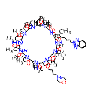 CC[C@@H]1NC(=O)[C@@H]2[C@@H]([C@H](C)CCCCCn3nc4ccccc4n3)ON2C(=O)[C@H](C(C)C)N(C)C(=O)[C@H](CC(C)C)N(C)C(=O)[C@H](CC(C)C)N(C)C(=O)[C@@H](C)NC(=O)[C@H](C)NC(=O)[C@H](CC(C)C)N(C)C(=O)[C@H](C(C)C)NC(=O)[C@H]([C@@H](C)OCCCCN2CCOCC2)N(C)C(=O)[C@@H](C)N(C)C1=O